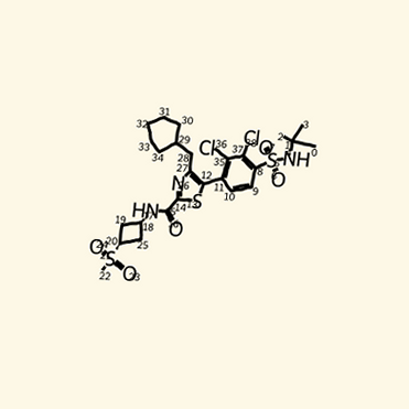 CC(C)(C)NS(=O)(=O)c1ccc(-c2sc(C(=O)N[C@H]3C[C@@H](S(C)(=O)=O)C3)nc2CC2CCCCC2)c(Cl)c1Cl